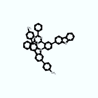 Cc1ccc(-c2ccc3c4ccc(-c5ccc(C)cc5)cc4n(-c4ccc(-c5ccc6c(c5)oc5ccccc56)cc4-c4nc(-c5ccccc5)nc(-c5ccccc5)n4)c3c2)cc1